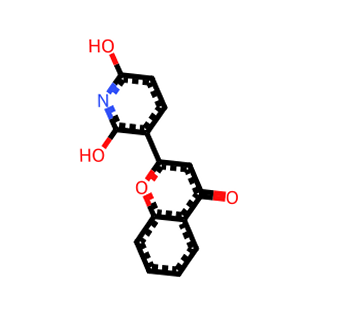 O=c1cc(-c2ccc(O)nc2O)oc2ccccc12